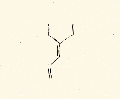 C=NC=C(CC)CC